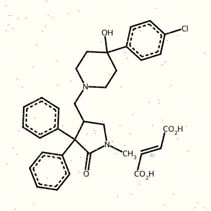 CN1CC(CN2CCC(O)(c3ccc(Cl)cc3)CC2)C(c2ccccc2)(c2ccccc2)C1=O.O=C(O)/C=C/C(=O)O